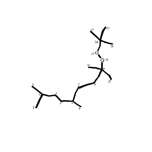 CC(C)CCC(C)CCC(C)(C)OOC(C)(C)C